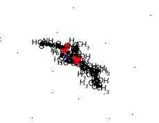 CC#C/C=C\C#C[C@H](O[C@@H]1O[C@H](C)[C@@H](NO[C@H]2C[C@H](O)[C@H](SC(=O)c3c(C)c(I)c(O[C@@H]4O[C@@H](C)[C@H](O)[C@@H](OC)[C@H]4O)c(OC)c3OC)[C@@H](C)O2)[C@@H](O)[C@H]1O[C@H]1C[C@H](OC)[C@@H](NCC)CO1)C1=C(NC(=O)OC)C(=O)C[C@](C)(O)/C1=C/CSSC(C)(C)CCC(=O)NCCCC[C@H](N)C(=O)O